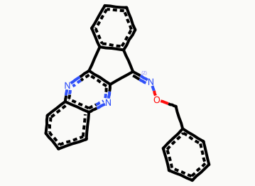 c1ccc(CO/N=C2/c3ccccc3-c3nc4ccccc4nc32)cc1